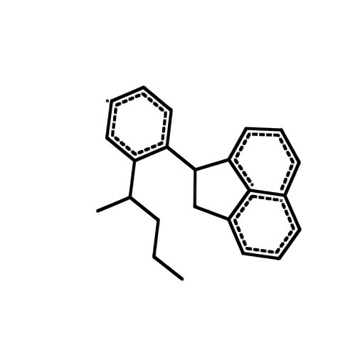 CCCC(C)c1c[c]ccc1C1Cc2cccc3cccc1c23